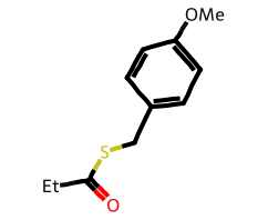 CCC(=O)SCc1ccc(OC)cc1